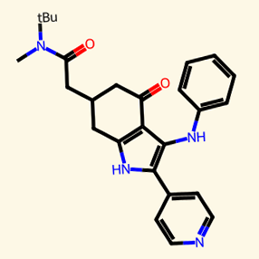 CN(C(=O)CC1CC(=O)c2c([nH]c(-c3ccncc3)c2Nc2ccccc2)C1)C(C)(C)C